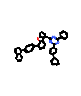 C1=CC(c2nc(-c3ccccc3)nc(-c3cccc4oc5c(-c6ccc(-c7cccc8ccccc78)cc6)cccc5c34)n2)CC=C1c1ccccc1